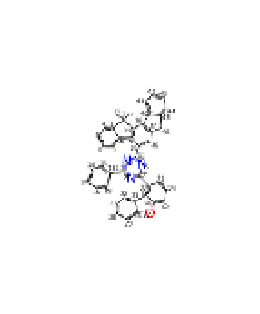 CC1(C)c2ccccc2-c2c(-c3nc(-c4ccccc4)nc(-c4cccc5oc6ccccc6c45)n3)cc3c(c21)-c1ccccc1C3